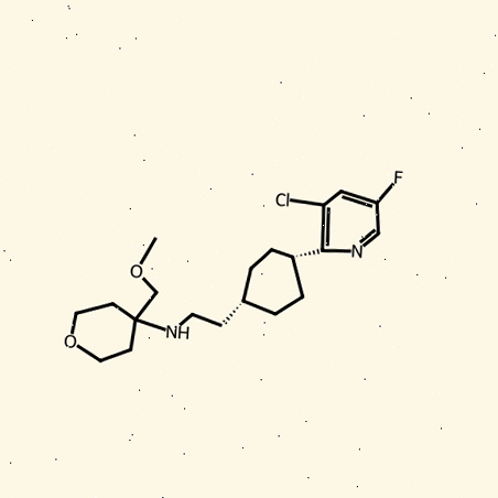 COCC1(NCC[C@H]2CC[C@@H](c3ncc(F)cc3Cl)CC2)CCOCC1